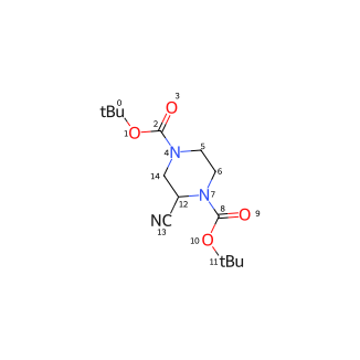 CC(C)(C)OC(=O)N1CCN(C(=O)OC(C)(C)C)C(C#N)C1